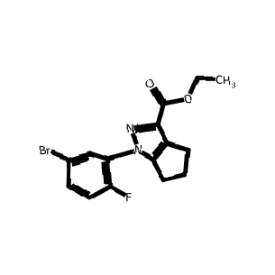 CCOC(=O)c1nn(-c2cc(Br)ccc2F)c2c1CCC2